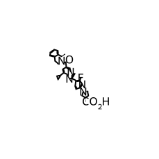 C[C@@H]1c2ccccc2CCN1C(=O)c1cc(C2CC2)c2nc(-c3ccc(N4CC[C@H](C(=O)O)C4)nc3F)cn2c1